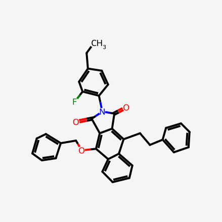 CCc1ccc(N2C(=O)c3c(c(OCc4ccccc4)c4ccccc4c3CCc3ccccc3)C2=O)c(F)c1